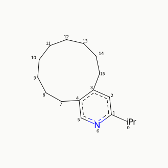 CC(C)c1cc2c(cn1)CCCCCCCCC2